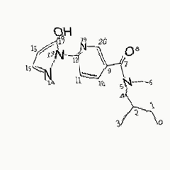 CCC(C)CN(C)C(=O)c1ccc(-n2nccc2O)nc1